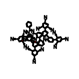 N#Cc1cc(C#N)c(-c2ccc3c(c2)c2cc(-c4c(C#N)cc(C#N)cc4C#N)ccc2n3-c2cccc(C#N)c2-c2cccc(-c3nc(-c4ccccc4)nc(-c4ccccc4)n3)c2-n2c3ccc(-c4c(C#N)cc(C#N)cc4C#N)cc3c3cc(-c4c(C#N)cc(C#N)cc4C#N)ccc32)c(C#N)c1